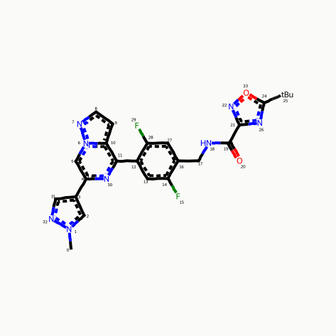 Cn1cc(-c2cn3nccc3c(-c3cc(F)c(CNC(=O)c4noc(C(C)(C)C)n4)cc3F)n2)cn1